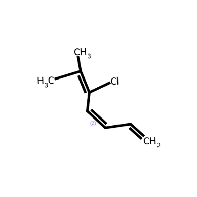 C=C/C=C\C(Cl)=C(C)C